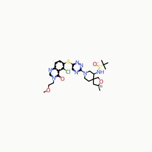 COCCn1cnc2ccc(Sc3cnc(N4CCC5(CO[C@@H](C)C5)C(N[S+]([O-])C(C)(C)C)C4)nn3)c(Cl)c2c1=O